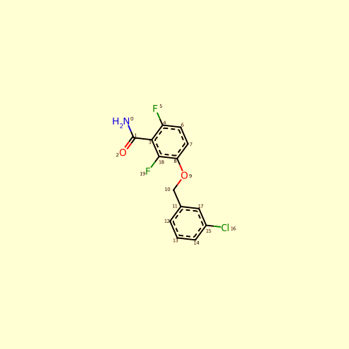 NC(=O)c1c(F)ccc(OCc2cccc(Cl)c2)c1F